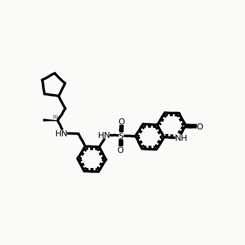 C[C@@H](CC1CCCC1)NCc1ccccc1NS(=O)(=O)c1ccc2[nH]c(=O)ccc2c1